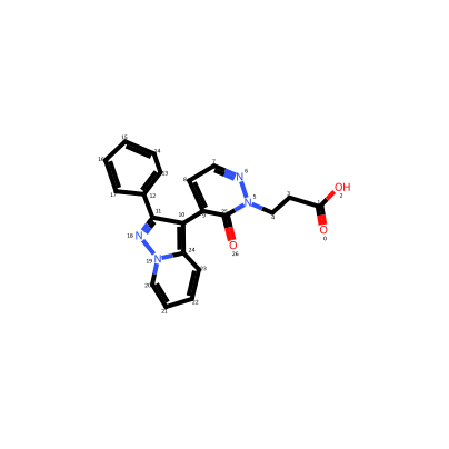 O=C(O)CCn1nccc(-c2c(-c3ccccc3)nn3ccccc23)c1=O